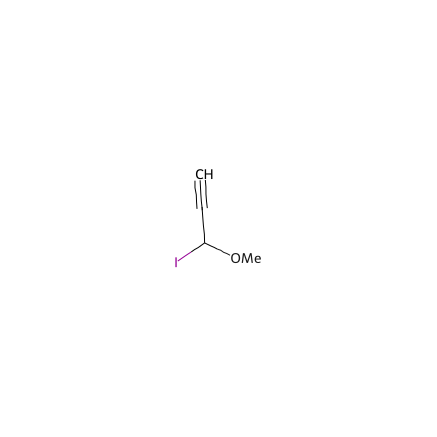 C#CC(I)OC